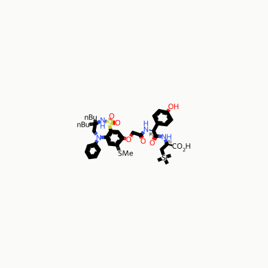 CCCCC1(CCCC)CN(c2ccccc2)c2cc(SC)c(OCC(=O)N[C@@H](C(=O)N[C@H](C[Si](C)(C)C)C(=O)O)c3ccc(O)cc3)cc2S(=O)(=O)N1